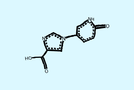 O=C(O)c1cn(-c2ccc(=O)[nH]c2)cn1